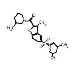 CC1CCCN(C(=O)C2Oc3ccc(S(=O)(=O)N4CC(C)CC(C)C4)cc3C2C)C1